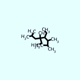 [CH2]C(C)C(C)C(CC)C(C)(CC)CC(C)C